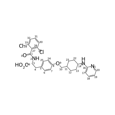 O=C(N[C@H](Cc1ccc(OCC2CCC(Nc3ccccn3)CC2)cc1)C(=O)O)c1c(Cl)cccc1Cl